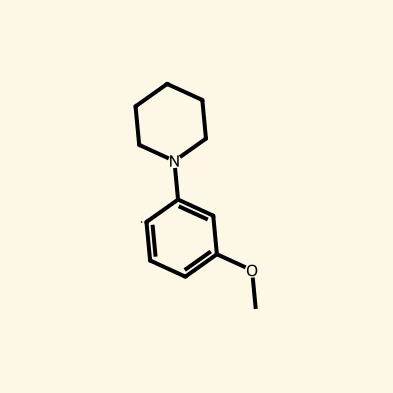 COc1cc[c]c(N2CCCCC2)c1